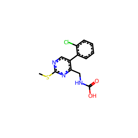 CSc1ncc(-c2ccccc2Cl)c(CNC(=O)O)n1